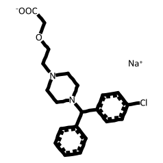 O=C([O-])COCCN1CCN(C(c2ccccc2)c2ccc(Cl)cc2)CC1.[Na+]